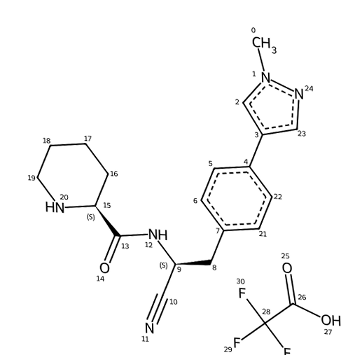 Cn1cc(-c2ccc(C[C@@H](C#N)NC(=O)[C@@H]3CCCCN3)cc2)cn1.O=C(O)C(F)(F)F